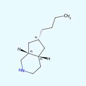 CCCC[C@H]1C[C@H]2CNCC[C@H]2C1